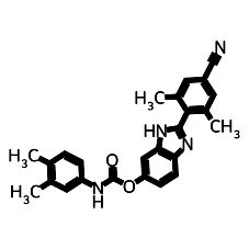 Cc1ccc(NC(=O)Oc2ccc3nc(-c4c(C)cc(C#N)cc4C)[nH]c3c2)cc1C